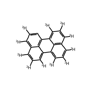 [2H]c1[c]c2c3c([2H])c([2H])c([2H])c4c([2H])c([2H])c([2H])c(c5c([2H])c([2H])c([2H])c(c1[2H])c25)c43